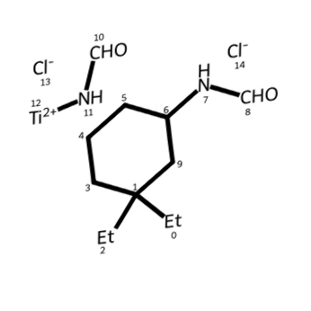 CCC1(CC)CCCC(NC=O)C1.O=C[NH][Ti+2].[Cl-].[Cl-]